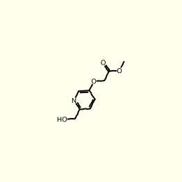 COC(=O)COc1ccc(CO)nc1